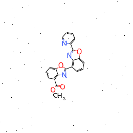 COC(=O)c1cccc2oc(-c3cccc4oc(-c5ccccn5)nc34)nc12